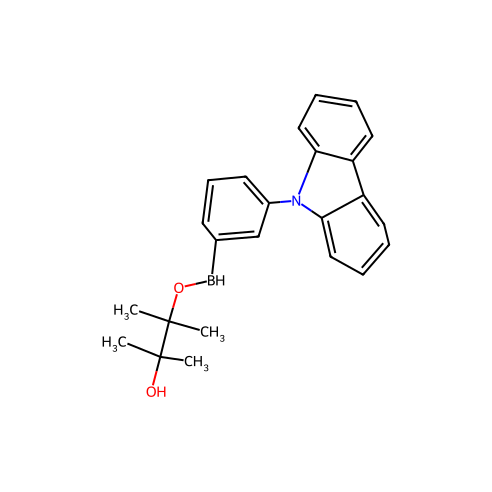 CC(C)(O)C(C)(C)OBc1cccc(-n2c3ccccc3c3ccccc32)c1